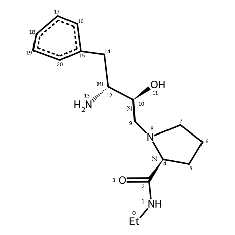 CCNC(=O)[C@@H]1CCCN1C[C@H](O)[C@H](N)Cc1ccccc1